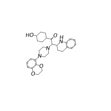 O=C(C1CCC(O)CC1)C(C1CCc2ccccc2N1)N1CCN(c2cccc3c2OCCO3)CC1